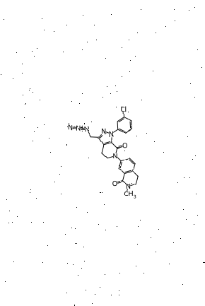 CN1CCc2ccc(N3CCc4c(CN=[N+]=[N-])nn(-c5cccc(Cl)c5)c4C3=O)cc2C1=O